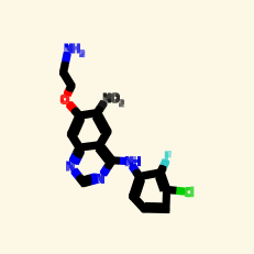 NCCOc1cc2ncnc(Nc3cccc(Cl)c3F)c2cc1[N+](=O)[O-]